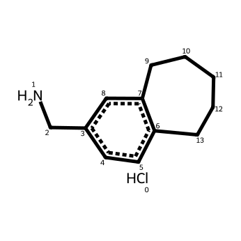 Cl.NCc1ccc2c(c1)CCCCC2